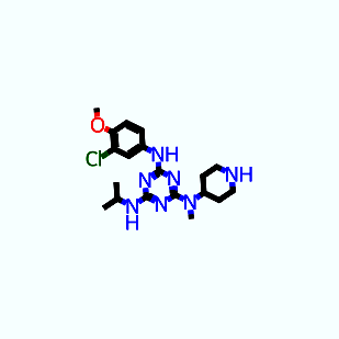 COc1ccc(Nc2nc(NC(C)C)nc(N(C)C3CCNCC3)n2)cc1Cl